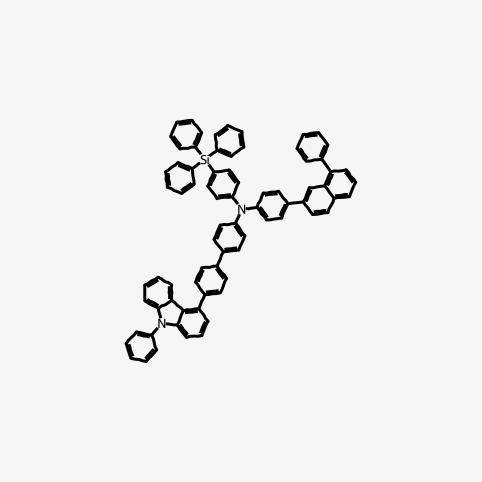 c1ccc(-c2cccc3ccc(-c4ccc(N(c5ccc(-c6ccc(-c7cccc8c7c7ccccc7n8-c7ccccc7)cc6)cc5)c5ccc([Si](c6ccccc6)(c6ccccc6)c6ccccc6)cc5)cc4)cc23)cc1